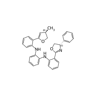 C[C@@H]1C=C(c2ccccc2Nc2ccccc2Nc2ccccc2C2=N[C@@H](c3ccccc3)CO2)OC1